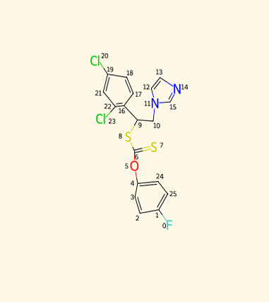 Fc1ccc(OC(=S)SC(Cn2ccnc2)c2ccc(Cl)cc2Cl)cc1